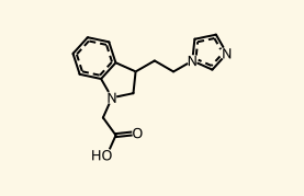 O=C(O)CN1CC(CCn2ccnc2)c2ccccc21